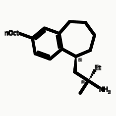 CCCCCCCCc1ccc2c(c1)CCCC[C@H]2C[C@](C)(N)CC